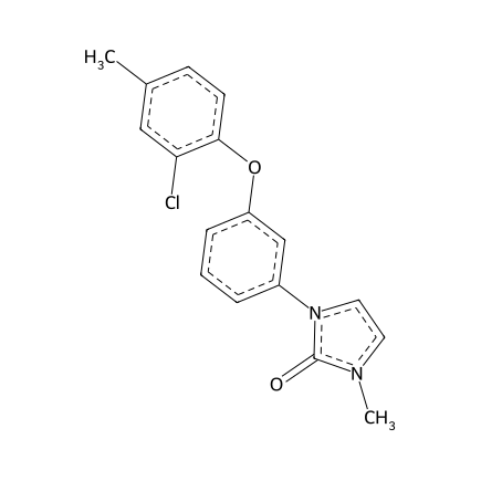 Cc1ccc(Oc2cccc(-n3ccn(C)c3=O)c2)c(Cl)c1